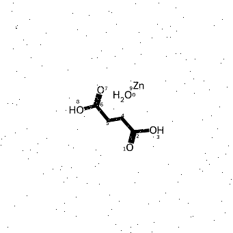 O.O=C(O)CCC(=O)O.[Zn]